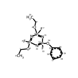 CCOP1(F)=NP(F)(OCC)=NP(F)(Oc2ccccc2)=N1